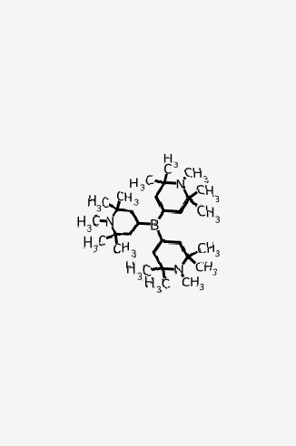 CN1C(C)(C)CC(B(C2CC(C)(C)N(C)C(C)(C)C2)C2CC(C)(C)N(C)C(C)(C)C2)CC1(C)C